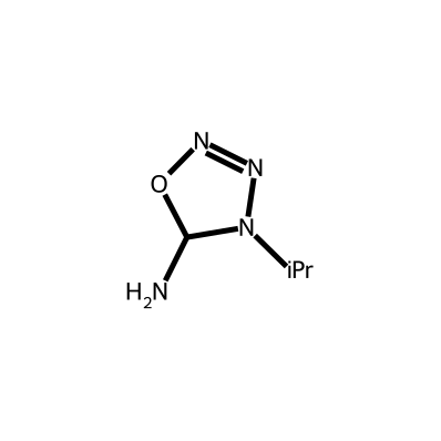 CC(C)N1N=NOC1N